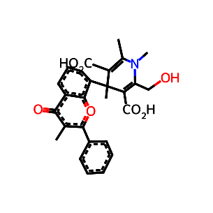 CC1=C(C(=O)O)C(C)(c2cccc3c(=O)c(C)c(-c4ccccc4)oc23)C(C(=O)O)=C(CO)N1C